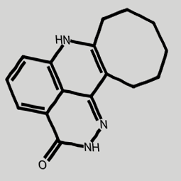 O=c1[nH]nc2c3c(cccc13)NC1=C2CCCCCC1